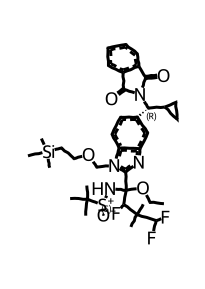 CCOC(N[S@+]([O-])C(C)(C)C)(c1nc2cc([C@@H](C3CC3)N3C(=O)c4ccccc4C3=O)ccc2n1COCC[Si](C)(C)C)C(F)C(C)(C)C(F)F